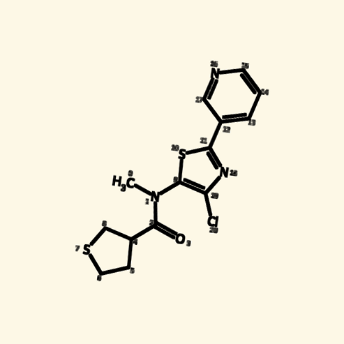 CN(C(=O)C1CCSC1)c1sc(-c2cccnc2)nc1Cl